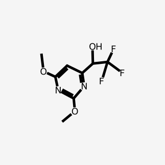 COc1cc(C(O)C(F)(F)F)nc(OC)n1